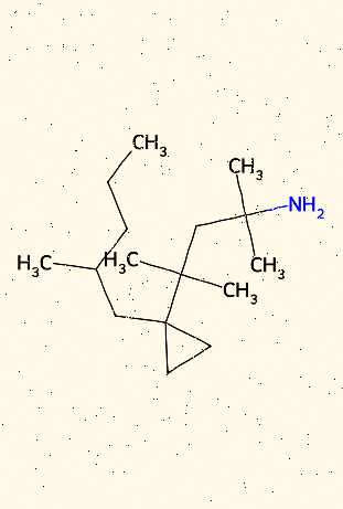 CCCC(C)CC1(C(C)(C)CC(C)(C)N)CC1